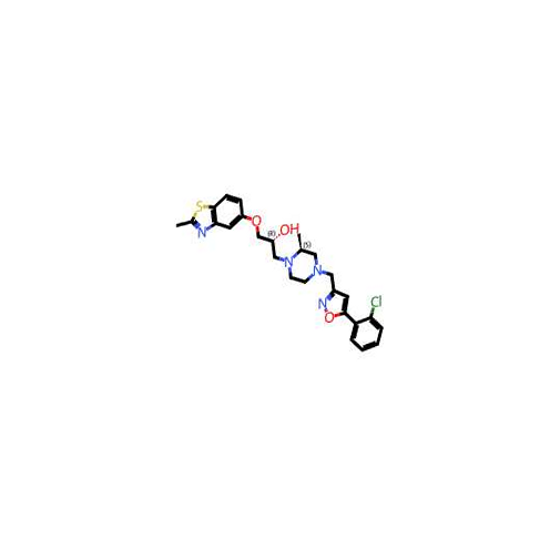 Cc1nc2cc(OC[C@H](O)CN3CCN(Cc4cc(-c5ccccc5Cl)on4)C[C@@H]3C)ccc2s1